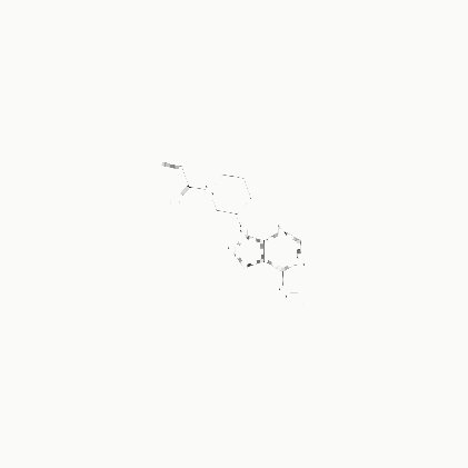 C=CC(=O)N1CCC[C@@H](n2n[c]c3c(N)ncnc32)C1